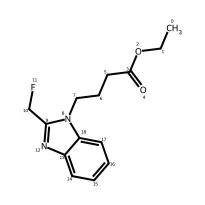 CCOC(=O)CCCn1c(CF)nc2ccccc21